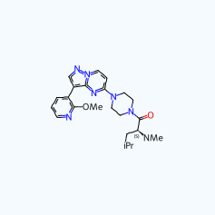 CN[C@@H](CC(C)C)C(=O)N1CCN(c2ccn3ncc(-c4cccnc4OC)c3n2)CC1